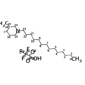 CCCCCCCCCCCCCCN1CCCC(C)C1.O=S(=O)(O)C(F)(F)F